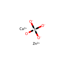 [Ca+2].[O-][Ti]([O-])([O-])[O-].[Zn+2]